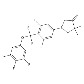 C=C1CB(c2cc(F)c(C(F)(F)Oc3cc(F)c(F)c(F)c3)c(F)c2)CC1(C)C